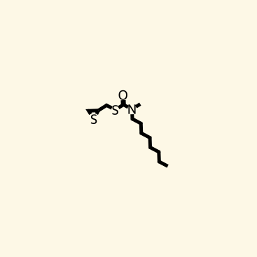 CCCCCCCCN(C)C(=O)SCC1CS1